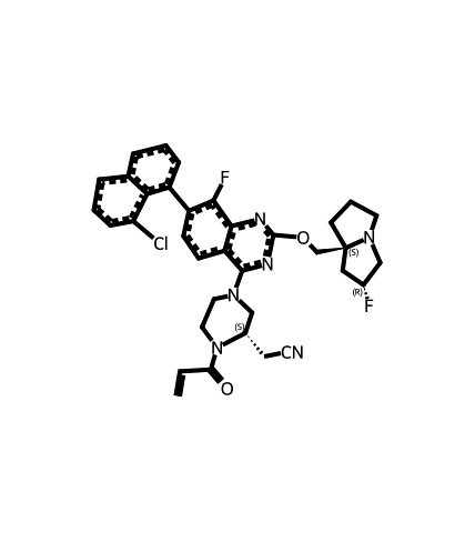 C=CC(=O)N1CCN(c2nc(OC[C@@]34CCCN3C[C@H](F)C4)nc3c(F)c(-c4cccc5cccc(Cl)c45)ccc23)C[C@@H]1CC#N